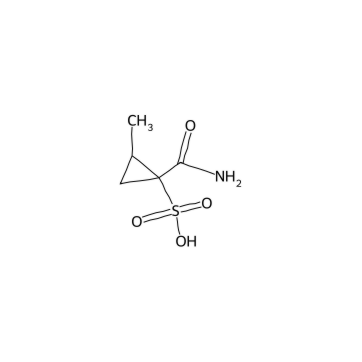 CC1CC1(C(N)=O)S(=O)(=O)O